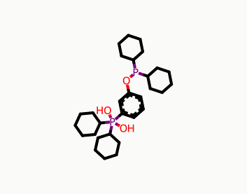 OP(O)(c1cccc(OP(C2CCCCC2)C2CCCCC2)c1)(C1CCCCC1)C1CCCCC1